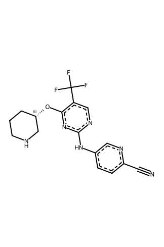 N#Cc1ccc(Nc2ncc(C(F)(F)F)c(O[C@H]3CCCNC3)n2)cn1